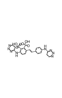 O=S(=O)(O)c1c(C=Cc2ccc(Nc3ccnnn3)cc2)ccc(Nc2ccnnn2)c1S(=O)(=O)O